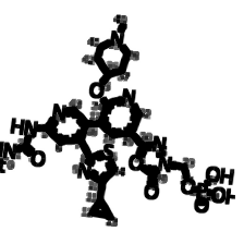 CCNC(=O)Nc1cc(-c2nc(C3CC3)cs2)c(-c2cc(-c3nn(COP(=O)(O)O)c(=O)o3)cnc2OC2CCN(C)CC2)cn1